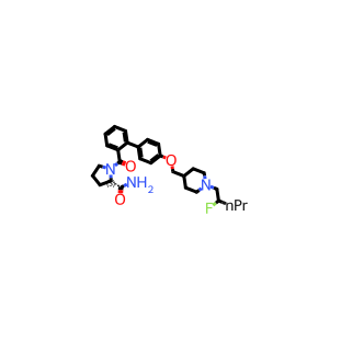 CCCC(F)CN1CCC(COc2ccc(-c3ccccc3C(=O)N3CCC[C@H]3C(N)=O)cc2)CC1